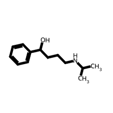 CC(C)NCC[CH]C(O)c1ccccc1